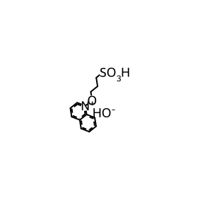 O=S(=O)(O)CCCO[n+]1cccc2ccccc21.[OH-]